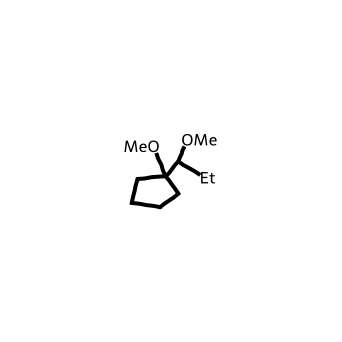 CCC(OC)C1(OC)CCCC1